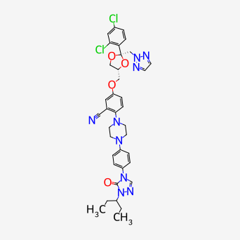 CCC(CC)n1ncn(-c2ccc(N3CCN(c4ccc(OC[C@@H]5CO[C@@](Cn6nccn6)(c6ccc(Cl)cc6Cl)O5)cc4C#N)CC3)cc2)c1=O